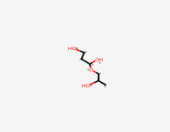 CC(O)COC(O)CCO